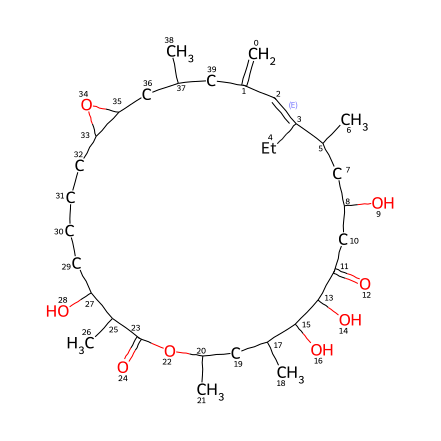 C=C1/C=C(\CC)C(C)CC(O)CC(=O)C(O)C(O)C(C)CC(C)OC(=O)C(C)C(O)CCCCC2OC2CC(C)C1